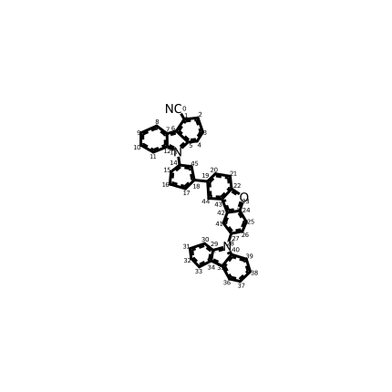 N#Cc1cccc2c1c1ccccc1n2-c1cccc(-c2ccc3oc4ccc(-n5c6ccccc6c6ccccc65)cc4c3c2)c1